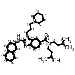 CC(C)CCN(CCC(C)C)C(=O)c1ccc2nc(Nc3ccc4ccccc4c3)n(CCCN3CCCCC3)c2c1